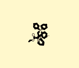 CCOC(=O)c1c(C[P+](c2ccccc2)(c2ccccc2)c2ccccc2)nc2ccccn12.[Br-]